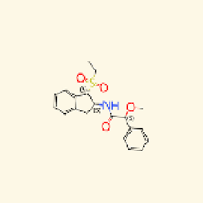 CCS(=O)(=O)[C@H]1c2ccccc2C[C@@H]1NC(=O)[C@@H](OC)c1ccccc1